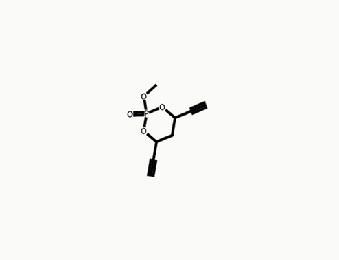 C#CC1CC(C#C)OP(=O)(OC)O1